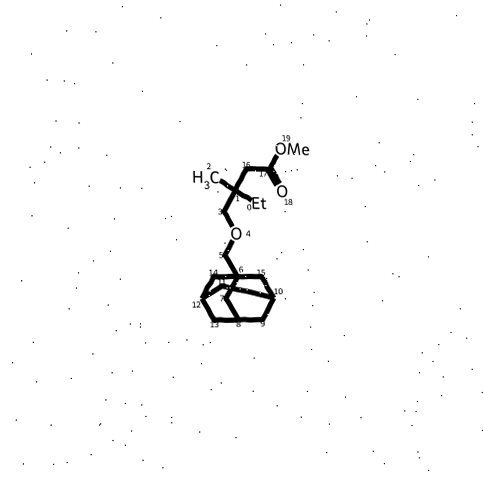 CCC(C)(COCC12CC3CC(CC(C3)C1)C2)CC(=O)OC